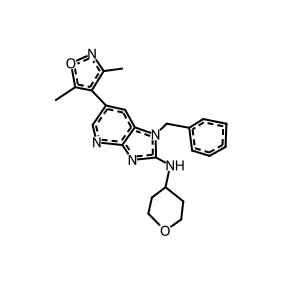 Cc1noc(C)c1-c1cnc2nc(NC3CCOCC3)n(Cc3ccccc3)c2c1